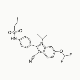 CCCS(=O)(=O)Nc1ccc(-c2c(C#N)c3ccc(OC(F)F)cc3n2C(C)C)cc1